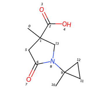 CC1(C(=O)O)CC(=O)N(C2(C)CC2)C1